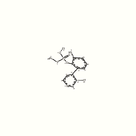 CCCSP(=S)(OCC)Oc1c(S)cccc1-c1ccnnc1Cl